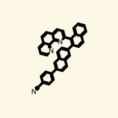 N#Cc1ccc(-c2ccc3cc(-c4ccc5ccccc5c4-c4ccc5ccc6cccnc6c5n4)ccc3c2)cc1